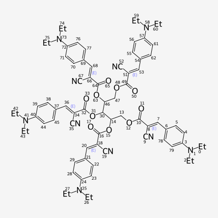 CCN(CC)c1ccc(/C=C(\C#N)C(=O)OCC(OC(=O)/C(C#N)=C/c2ccc(N(CC)CC)cc2)C(OC(=O)/C(C#N)=C/c2ccc(N(CC)CC)cc2)C(COC(=O)/C(C#N)=C/c2ccc(N(CC)CC)cc2)OC(=O)/C(C#N)=C/c2ccc(N(CC)CC)cc2)cc1